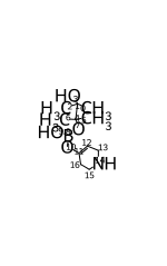 CC(C)(O)C(C)(C)OB(O)OC1=CCNCC1